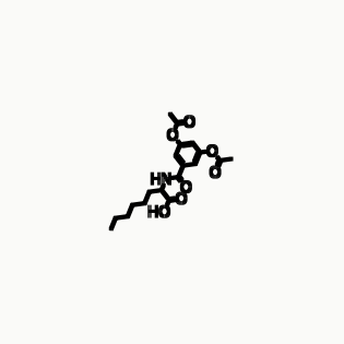 CCCCCCC(NC(=O)c1cc(OC(C)=O)cc(OC(C)=O)c1)C(=O)O